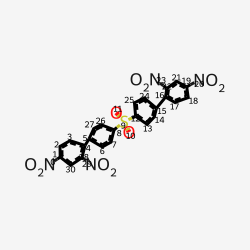 O=[N+]([O-])c1ccc(-c2ccc(S(=O)(=O)c3ccc(-c4ccc([N+](=O)[O-])cc4[N+](=O)[O-])cc3)cc2)c([N+](=O)[O-])c1